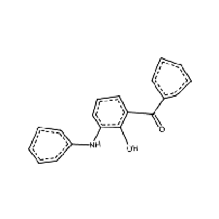 O=C(c1ccccc1)c1cccc(Nc2ccccc2)c1O